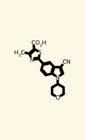 Cc1nc(-c2ccc3c(c2)c(C#N)cn3C2CCOCC2)sc1C(=O)O